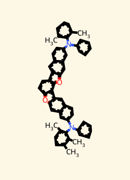 Cc1ccc(C)c(N(c2ccccc2)c2ccc3cc4c(cc3c2)oc2ccc3c5cc6ccc(N(c7ccccc7)c7c(C)cccc7C)cc6cc5oc3c24)c1C